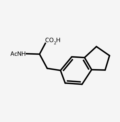 CC(=O)NC(Cc1ccc2c(c1)CCC2)C(=O)O